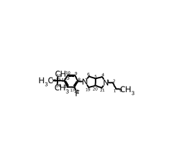 CCCN1CC2CN(c3ccc(C(C)(C)C)cc3F)CC2C1